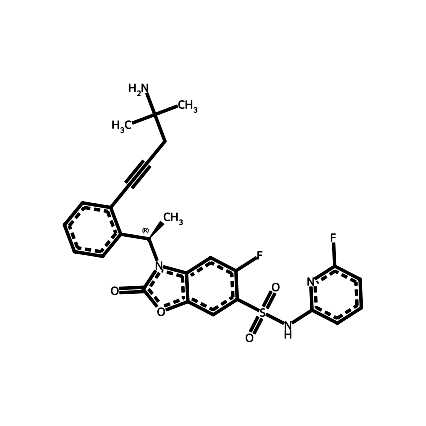 C[C@H](c1ccccc1C#CCC(C)(C)N)n1c(=O)oc2cc(S(=O)(=O)Nc3cccc(F)n3)c(F)cc21